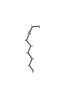 CCCCC[CH2][Zn][CH2]C